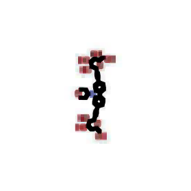 OCC1CC(O)C(O)C(C#Cc2ccc3c4ccc(C#CC5OC(CO)[C@@H](O)C(O)C5O)cc4n(C4CCOCC4)c3c2)O1